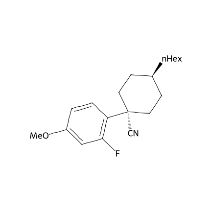 CCCCCC[C@H]1CC[C@@](C#N)(c2ccc(OC)cc2F)CC1